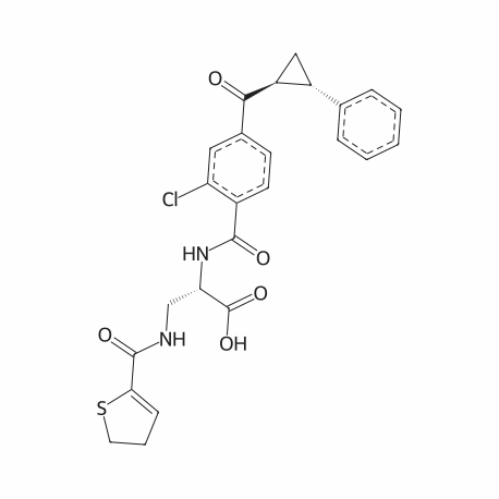 O=C(NC[C@H](NC(=O)c1ccc(C(=O)[C@H]2C[C@@H]2c2ccccc2)cc1Cl)C(=O)O)C1=CCCS1